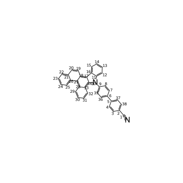 N#Cc1ccc(-c2ccc(-n3c4ccccc4c4c5ccc6ccccc6c5c5ccccc5c43)cc2)cc1